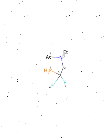 CCN(CC(F)(F)P)C(C)=O